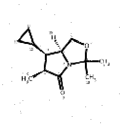 C[C@@H]1C(=O)N2[C@H](COC2(C)C)[C@@H]1C1CC1